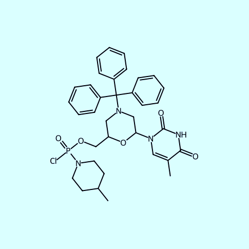 Cc1cn(C2CN(C(c3ccccc3)(c3ccccc3)c3ccccc3)CC(COP(=O)(Cl)N3CCC(C)CC3)O2)c(=O)[nH]c1=O